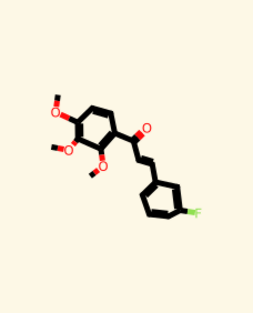 COc1ccc(C(=O)/C=C/c2cccc(F)c2)c(OC)c1OC